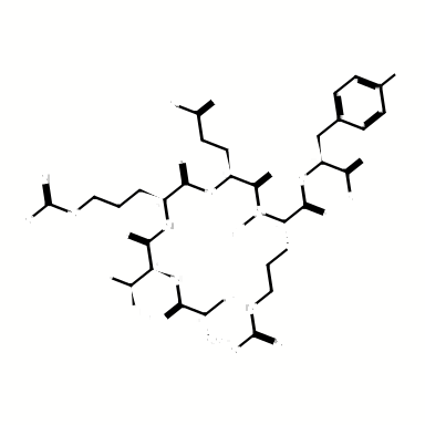 CN[C@H](C(=O)N[C@H](C(=O)N[C@@H](CCCNC(=N)N)C(=O)N[C@@H](CCC(N)=O)C(=O)N(C)[C@@H](CCCNC(=N)N)C(=O)N[C@@H](Cc1ccc(O)cc1)C(N)=O)[C@@H](C)O)C(C)C